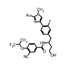 CC(=O)c1nc(-c2ccc(CC(CCO)NC(=O)c3ccc(OC(C)C(F)(F)F)c(C#N)c3)cc2F)cn1C